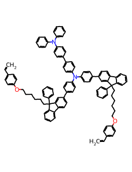 C=Cc1ccc(OCCCCCCC2(c3ccccc3)c3ccccc3-c3ccc(-c4ccc(N(c5ccc(-c6ccc(N(c7ccccc7)c7ccccc7)cc6)cc5)c5ccc(-c6ccc7c(c6)C(CCCCCCOc6ccc(C=C)cc6)(c6ccccc6)c6ccccc6-7)cc5)cc4)cc32)cc1